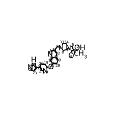 CC(O)(C=O)CN1CCN(Cc2cnc3cc(Oc4ccc(-c5ccn[nH]5)cn4)ccc3c2)CC1